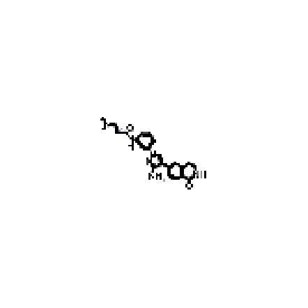 CN(C)/C=C/C(=O)Nc1cccc(-n2cc(-c3ccc4c(c3)CCNC4=O)c(N)n2)c1